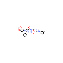 Cc1cccc(N2CCN(CC(O)CNC(=O)c3nc(-c4ccccc4)n(-c4ccc5c(c4)OCCO5)c3C)CC2)c1C